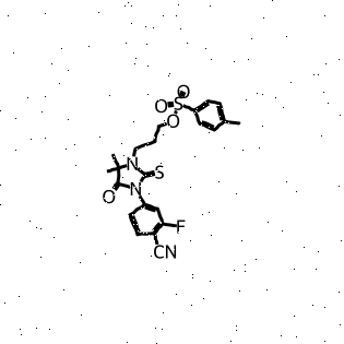 Cc1ccc(S(=O)(=O)OCCCN2C(=S)N(c3ccc(C#N)c(F)c3)C(=O)C2(C)C)cc1